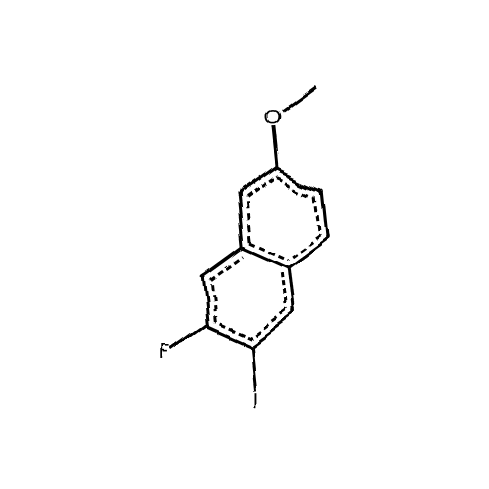 COc1ccc2cc(I)c(F)cc2c1